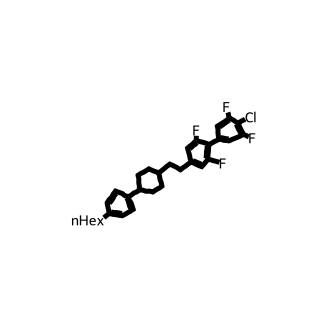 CCCCCCc1ccc(C2CCC(CCc3cc(F)c(-c4cc(F)c(Cl)c(F)c4)c(F)c3)CC2)cc1